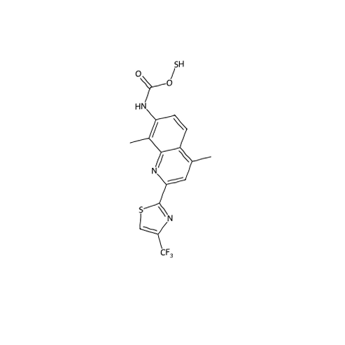 Cc1cc(-c2nc(C(F)(F)F)cs2)nc2c(C)c(NC(=O)OS)ccc12